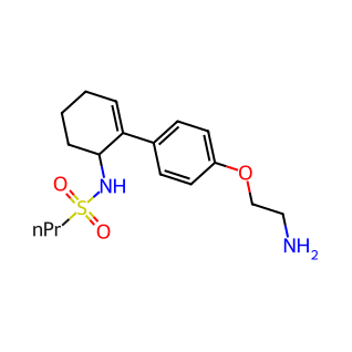 CCCS(=O)(=O)NC1CCCC=C1c1ccc(OCCN)cc1